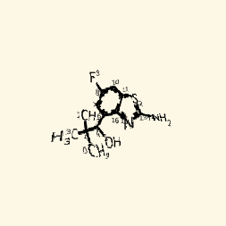 CC(C)(C)C(O)c1cc(F)cc2sc(N)nc12